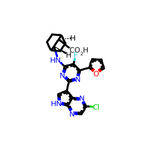 O=C(O)[C@@H]1C2CCC(CC2)[C@H]1Nc1nc(-c2c[nH]c3ncc(Cl)nc23)nc(-c2ccco2)c1F